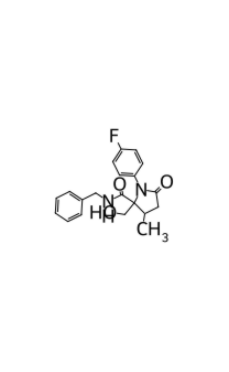 CC1CC(=O)N(c2ccc(F)cc2)C1(CO)C(=O)NCc1ccccc1